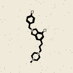 CN1CCN(CCCc2cc(Cl)c3c(c2)CN(Cc2ccc(Cl)cc2)C3)CC1